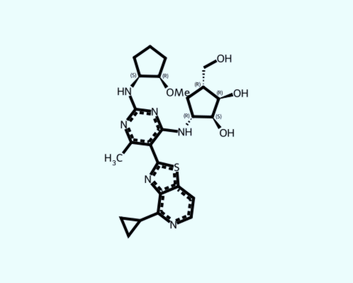 CO[C@@H]1CCC[C@@H]1Nc1nc(C)c(-c2nc3c(C4CC4)nccc3s2)c(N[C@@H]2C[C@H](CO)[C@@H](O)[C@H]2O)n1